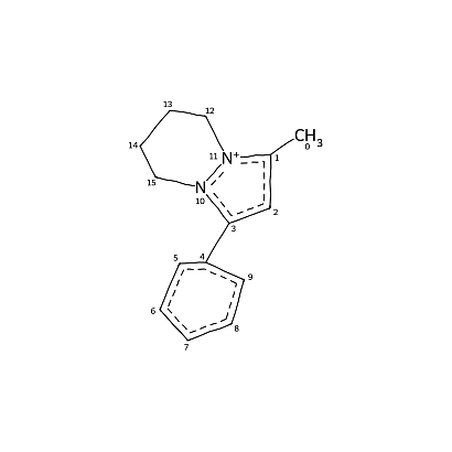 Cc1cc(-c2ccccc2)n2[n+]1CCCC2